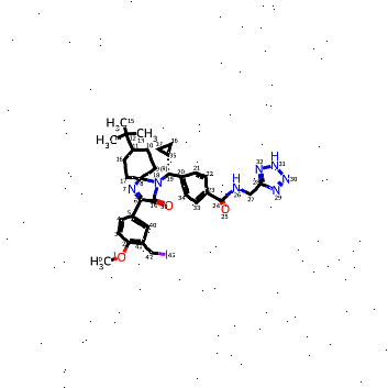 COc1ccc(C2=NC3(CCC(C(C)(C)C)CC3)N([C@@H](c3ccc(C(=O)NCc4nn[nH]n4)cc3)C3CC3)C2=O)cc1CI